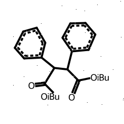 CC(C)COC(=O)C(c1ccccc1)C(C(=O)OCC(C)C)c1ccccc1